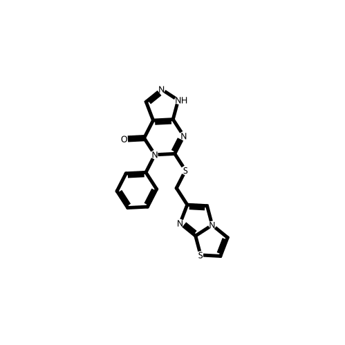 O=c1c2cn[nH]c2nc(SCc2cn3ccsc3n2)n1-c1ccccc1